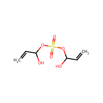 C=CC(O)OS(=O)(=O)OC(O)C=C